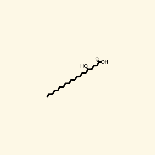 CCCCC/C=C/CC/C=C/C=C/C=C/C(O)CCCC(=O)O